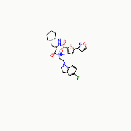 O=C(NCCN1CCc2cc(F)ccc21)C(CC1CCCCC1)NS(=O)(=O)c1ccc(-c2ccon2)s1